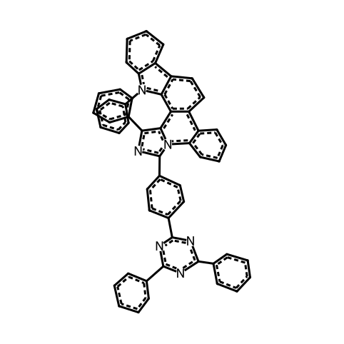 c1ccc(-c2nc(-c3ccccc3)nc(-c3ccc(-c4nc(-c5ccccc5)c5c6c(ccc7c8ccccc8n(-c8ccccc8)c76)c6ccccc6n45)cc3)n2)cc1